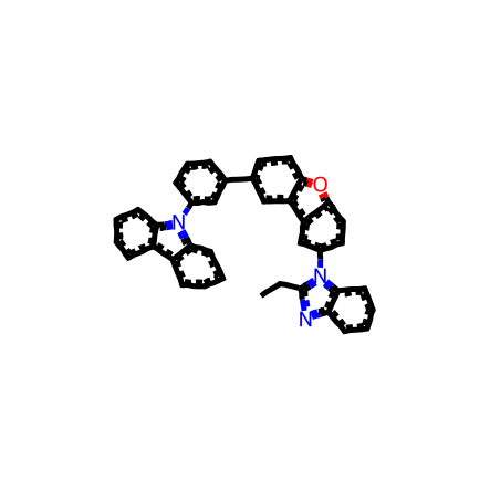 CCc1nc2ccccc2n1-c1ccc2oc3ccc(-c4cccc(-n5c6ccccc6c6ccccc65)c4)cc3c2c1